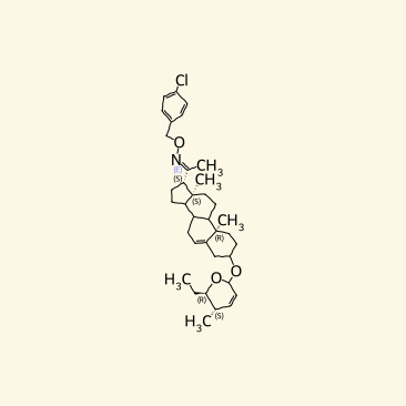 CC[C@H]1OC(OC2CC[C@@]3(C)C(=CCC4C3CC[C@@]3(C)C4CC[C@@H]3/C(C)=N/OCc3ccc(Cl)cc3)C2)C=C[C@@H]1C